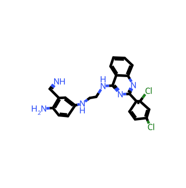 N=Cc1cc(NCCNc2nc(-c3ccc(Cl)cc3Cl)nc3ccccc23)ccc1N